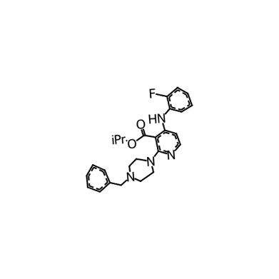 CC(C)OC(=O)c1c(Nc2ccccc2F)ccnc1N1CCN(Cc2ccccc2)CC1